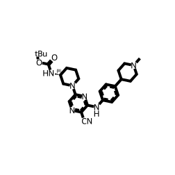 CN1CCC(c2ccc(Nc3nc(N4CCC[C@@H](NC(=O)OC(C)(C)C)C4)cnc3C#N)cc2)CC1